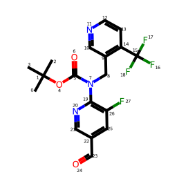 CC(C)(C)OC(=O)N(Cc1cnccc1C(F)(F)F)c1ncc(C=O)cc1F